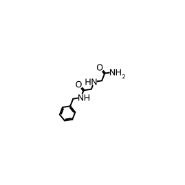 NC(=O)CNCC(=O)NCc1ccccc1